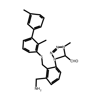 Cc1cccc(-c2cccc(SCc3c(CN)cccc3N3N=NN(C)C3C=O)c2C)c1